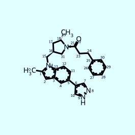 Cc1cc2cc(-c3cn[nH]c3)ccc2n1C[C@H]1C[C@H](C)N(C(=O)CCc2ccccc2)C1